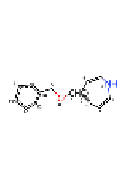 C1=CC=CNC=C1.O=COCc1ccccc1